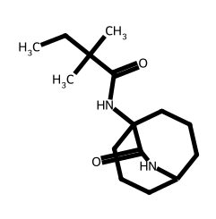 CCC(C)(C)C(=O)NC12CCCC(CCC1)NC2=O